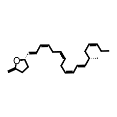 C=C1CC[C@@H](/C=C/C=C\C/C=C\C/C=C\C=C\[C@@H](C)C/C=C\CC)O1